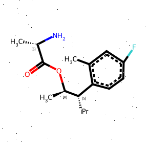 Cc1cc(F)ccc1[C@H](C(C)C)[C@@H](C)OC(=O)[C@H](C)N